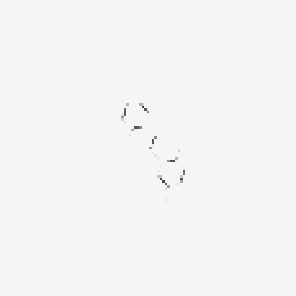 Oc1ccc(C=Cc2cc(O)ccc2O)c(O)c1